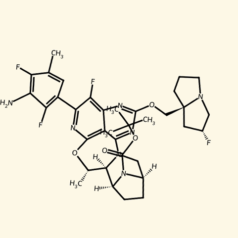 Cc1cc(-c2nc3c4c(nc(OC[C@@]56CCCN5C[C@H](F)C6)nc4c2F)N2C[C@H]4CC[C@@H]([C@H]2[C@H](C)O3)N4C(=O)OC(C)(C)C)c(F)c(N)c1F